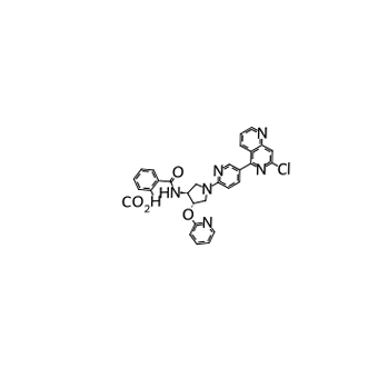 O=C(O)c1ccccc1C(=O)N[C@H]1CN(c2ccc(-c3nc(Cl)cc4ncccc34)cn2)C[C@@H]1Oc1ccccn1